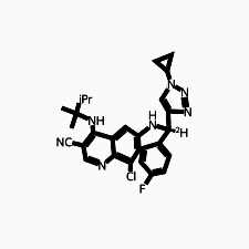 [2H][C@](Nc1cc(Cl)c2ncc(C#N)c(NC(C)(C)C(C)C)c2c1)(c1ccc(F)cc1)c1cn(C2CC2)nn1